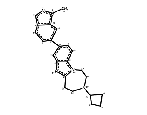 Cn1ncc2ccc(-c3ccc4c(c3)nc3n4CCN(C4CCC4)CC3)cc21